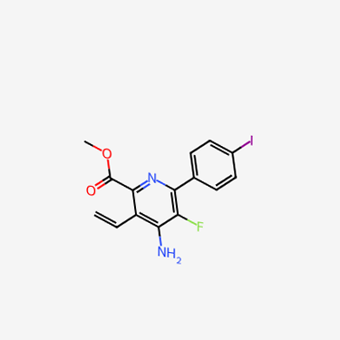 C=Cc1c(C(=O)OC)nc(-c2ccc(I)cc2)c(F)c1N